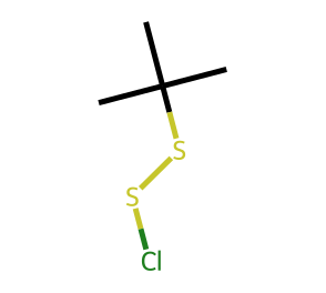 CC(C)(C)SSCl